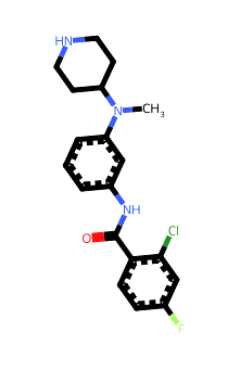 CN(c1cccc(NC(=O)c2ccc(F)cc2Cl)c1)C1CCNCC1